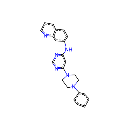 c1ccc(N2CCN(c3cc(Nc4ccc5cccnc5c4)ncn3)CC2)cc1